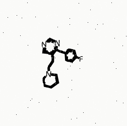 Fc1ccc(-c2ncncc2CCN2CCCCC2)cc1